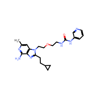 Cc1cc2c(nc(CCC3CC3)n2CCOCCNC(=O)Nc2cccnc2)c(N)n1